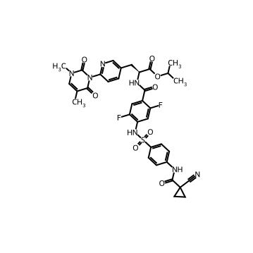 Cc1cn(C)c(=O)n(-c2ccc(C[C@H](NC(=O)c3cc(F)c(NS(=O)(=O)c4ccc(NC(=O)C5(C#N)CC5)cc4)cc3F)C(=O)OC(C)C)cn2)c1=O